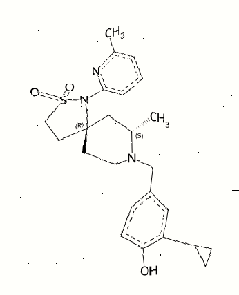 Cc1cccc(N2[C@@]3(CCN(Cc4ccc(O)c(C5CC5)c4)[C@@H](C)C3)CCS2(=O)=O)n1